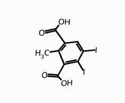 Cc1c(C(=O)O)cc(I)c(I)c1C(=O)O